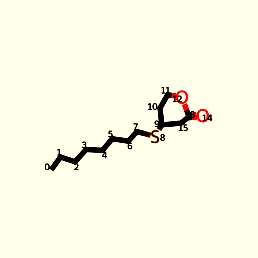 CCCCCCCCSC1CCOC(=O)C1